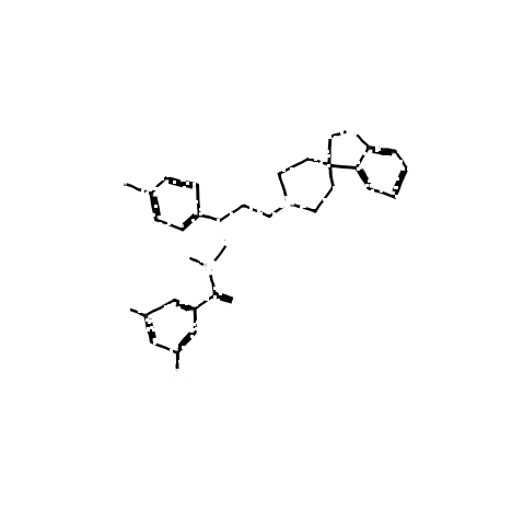 Cc1cc(C)cc(C(=O)N(C)C[C@@H](CCN2CCC3(CC2)CSc2ccccc23)c2ccc(Cl)cc2)c1